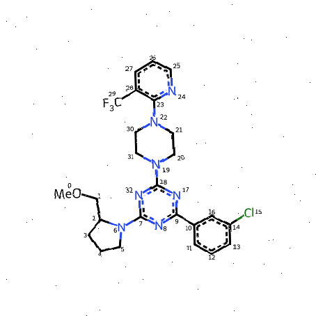 COCC1CCCN1c1nc(-c2cccc(Cl)c2)nc(N2CCN(c3ncccc3C(F)(F)F)CC2)n1